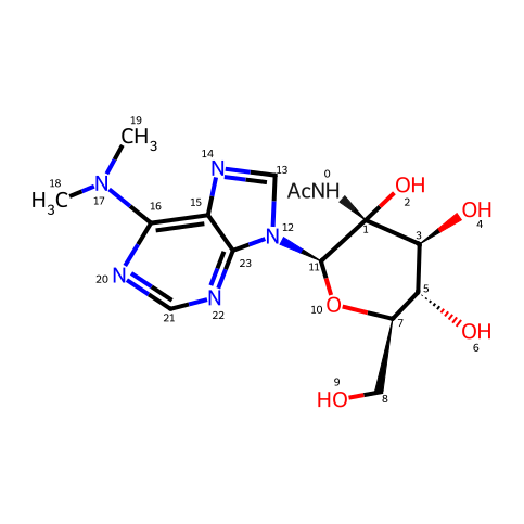 CC(=O)N[C@@]1(O)[C@@H](O)[C@H](O)[C@@H](CO)O[C@H]1n1cnc2c(N(C)C)ncnc21